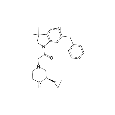 CC1(C)CN(C(=O)CN2CCN[C@H](C3CC3)C2)c2cc(Cc3ccccc3)ncc21